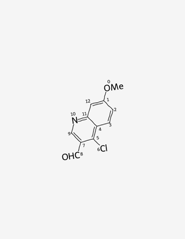 COc1ccc2c(Cl)c(C=O)cnc2c1